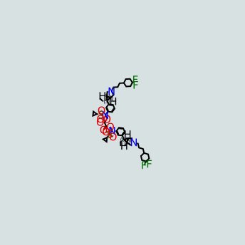 CC[C@@]1(c2cccc(N(OC(=O)C(=O)ON(c3cccc([C@]4(CC)[C@@H]5CN(CCCC6CCC(F)(F)CC6)C[C@@H]54)c3)S(=O)(=O)C3CC3)S(=O)(=O)C3CC3)c2)[C@@H]2CN(CCCC3CCC(F)(F)CC3)C[C@@H]21